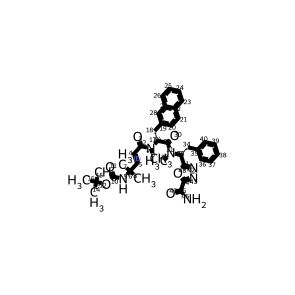 CN(C(=O)/C=C/C(C)(C)NC(=O)OC(C)(C)C)[C@H](Cc1ccc2ccccc2c1)C(=O)N(C)[C@H](Cc1ccccc1)c1nnc(C(N)=O)o1